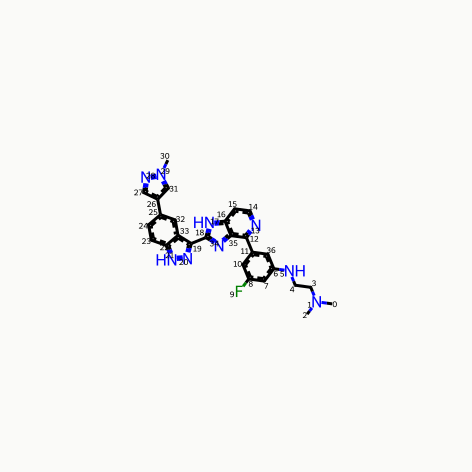 CN(C)CCNc1cc(F)cc(-c2nccc3[nH]c(-c4n[nH]c5ccc(-c6cnn(C)c6)cc45)nc23)c1